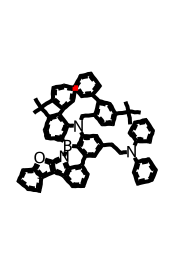 CC(C)(C)c1ccc(CN2c3cc(CCN(c4ccccc4)c4ccccc4)cc4c3B(c3ccc5c(c32)-c2ccccc2C5(C)C)n2c3oc5ccccc5c3c3cccc-4c32)c(-c2ccccc2)c1